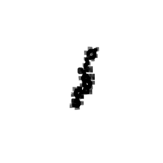 CN1CCN(CCCNC(=O)c2cc3cc(Nc4nccc(-c5cccs5)n4)ccc3[nH]2)CC1